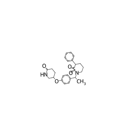 CC(c1ccc(OC2CCC(=O)NC2)cc1)N1CCCC(c2ccccc2)S1(=O)=O